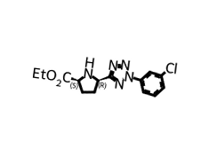 CCOC(=O)[C@@H]1CC[C@H](c2nnn(-c3cccc(Cl)c3)n2)N1